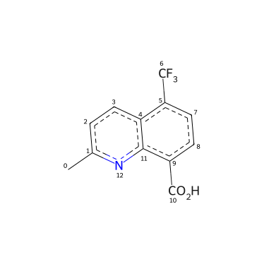 Cc1ccc2c(C(F)(F)F)ccc(C(=O)O)c2n1